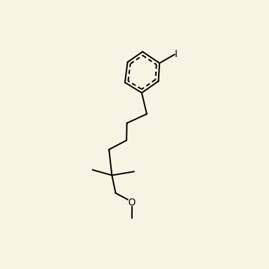 COCC(C)(C)CCCCc1cccc(I)c1